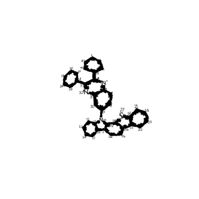 c1ccc(-c2nc3ccc(-n4c5ccccc5c5ccc6c7ccccc7sc6c54)cc3nc2-c2ccccc2)cc1